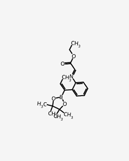 C/C=C(/B1OC(C)(C)C(C)(C)O1)c1ccccc1/N=C/C(=O)OCC